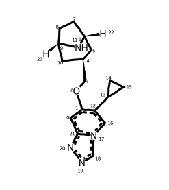 c1c(OC[C@@H]2C[C@H]3CC[C@@H](C2)N3)c(C2CC2)cn2cnnc12